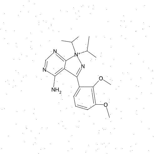 COc1cccc(C2=N[N+](C(C)C)(C(C)C)c3ncnc(N)c32)c1OC